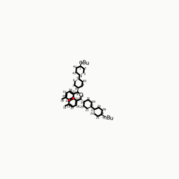 CCCC[C@H]1CC[C@H]([C@H]2CC[C@H](C(OC(c3ccc(C)cc3)[C@H]3CC[C@H]([C@H]4CC[C@H](CCCC)CC4)CC3)c3ccc(C)cc3)CC2)CC1